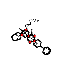 COCOc1cc(S(=O)(=O)N2CCC(c3ccccc3)CC2)cc(N2C3CCC2CN(C(=O)c2ccc(F)cc2Cl)C3)c1C